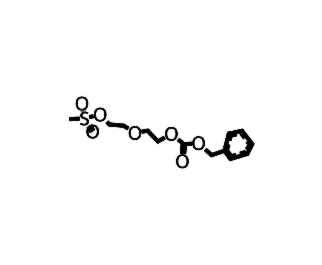 CS(=O)(=O)OCCOCCOC(=O)OCc1ccccc1